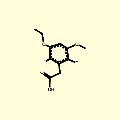 CCOc1cc(OC)c(F)c(CC(=O)O)c1F